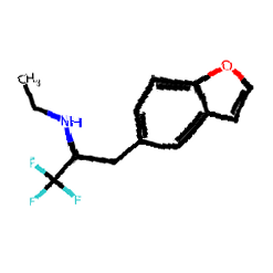 CCNC(Cc1ccc2occc2c1)C(F)(F)F